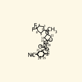 CN(C1CCC(F)(F)CC1)C1COC2(C1)CN(S(=O)(=O)c1cc(C#N)ccc1F)C2